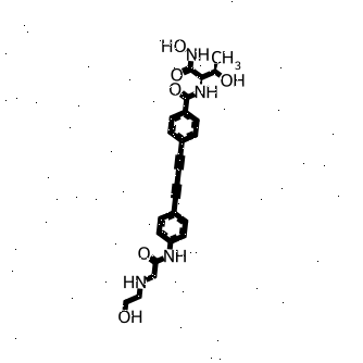 C[C@@H](O)[C@H](NC(=O)c1ccc(C#CC#Cc2ccc(NC(=O)CNCCO)cc2)cc1)C(=O)NO